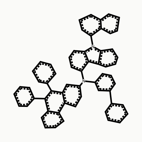 c1ccc(-c2cccc(N(c3ccc4c(c3)c(-c3ccccc3)c(-c3ccccc3)c3ccccc34)c3cccc4c3c3ccccc3n4-c3cccc4ccccc34)c2)cc1